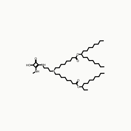 CCCCCCCCC(CC)OC(=O)CCCCCCCN(CCCCCCCC(=O)OC(CCCCCCCC)CCCCCCCC)CCCNC1=C(NC)C(O)C1=O